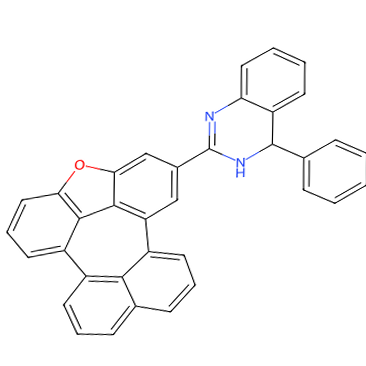 c1ccc(C2NC(c3cc4c5c(c3)oc3cccc(c35)-c3cccc5cccc-4c35)=Nc3ccccc32)cc1